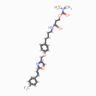 CN(C)C(=O)OCCC(=O)NCCCCc1ccc(OCc2coc(/C=C/c3ccc(C(F)(F)F)cc3)n2)cc1